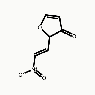 O=C1C=COC1C=C[N+](=O)[O-]